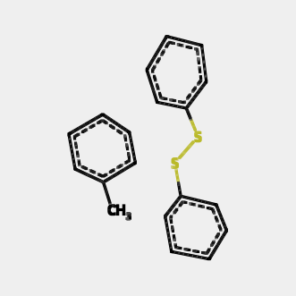 Cc1ccccc1.c1ccc(SSc2ccccc2)cc1